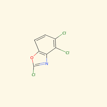 Clc1nc2c(Cl)c(Cl)ccc2o1